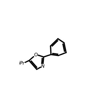 CC(C)c1cnc(-c2ccccc2)o1